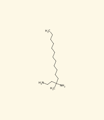 CCCCCCCCCCCCC(C)(N)CCN